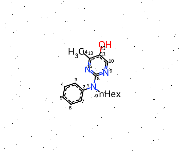 CCCCCCN(c1ccccc1)c1ncc(O)c(C)n1